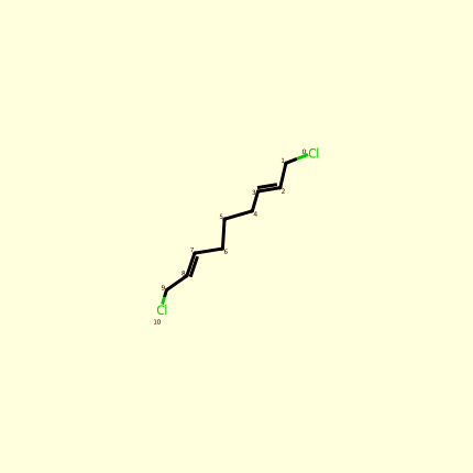 ClCC=CCCCC=CCCl